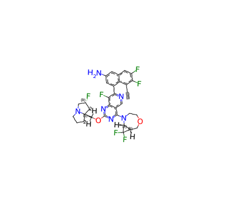 [2H]C([2H])(Oc1nc(N2CCOC[C@H]3[C@@H]2C3(F)F)c2cnc(-c3cc(N)cc4cc(F)c(F)c(C#C)c34)c(F)c2n1)[C@@]12CCCN1C[C@H](F)C2